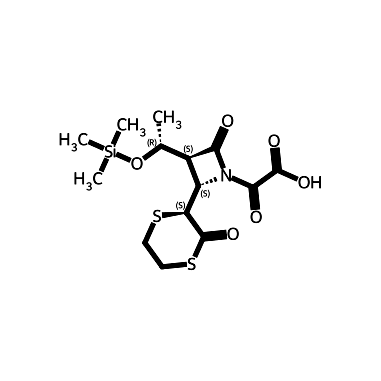 C[C@@H](O[Si](C)(C)C)[C@H]1C(=O)N(C(=O)C(=O)O)[C@@H]1[C@@H]1SCCSC1=O